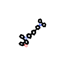 c1ccc2c(c1)oc1ccc3c(c4ccccc4n3-c3ccc(-c4ccc(-c5ccc(-n6c7ccccc7c7ccccc76)cc5)cc4)cc3)c12